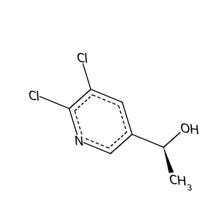 C[C@H](O)c1cnc(Cl)c(Cl)c1